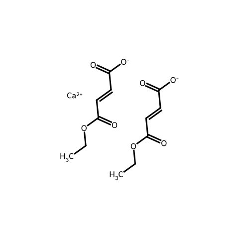 CCOC(=O)/C=C/C(=O)[O-].CCOC(=O)/C=C/C(=O)[O-].[Ca+2]